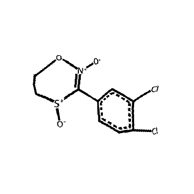 [O-][N+]1=C(c2ccc(Cl)c(Cl)c2)[S+]([O-])CCO1